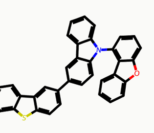 c1ccc2c(c1)oc1cccc(-n3c4ccccc4c4cc(-c5ccc6sc7ccccc7c6c5)ccc43)c12